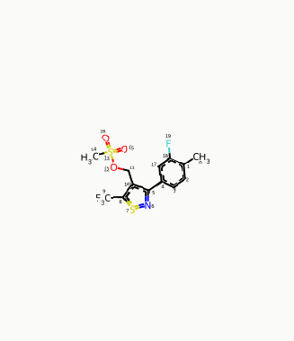 Cc1ccc(-c2nsc(C(F)(F)F)c2COS(C)(=O)=O)cc1F